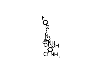 CO[C@@H]1CN(CCCOc2ccc(F)cc2)CC[C@@H]1NC(=O)c1cc(Cl)c(N)cc1O